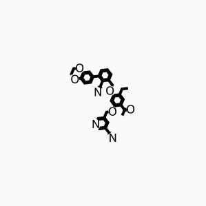 CCc1cc(C(C)=O)c(OCc2cncc(C#N)c2)cc1OCc1cccc(-c2ccc3c(c2)OCCO3)c1C#N